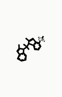 CC1=Cc2ccccc2C1C(C)(C)C1C(C)=Cc2c1ccc[c]2[Ge]([CH3])([CH3])[CH3]